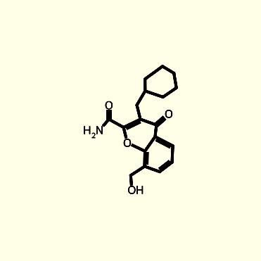 NC(=O)c1oc2c(CO)cccc2c(=O)c1CC1CCCCC1